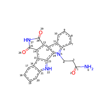 NC(=O)CCn1c2ccccc2c2c3c(c4c5ccccc5[nH]c4c21)C(=O)NC3=O